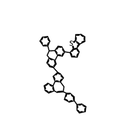 C1=C(c2ccc(-c3ccccc3)cc2)Cc2ccc(-c3ccc4c(c3)-c3cc(-c5cccc6c5sc5ccccc56)ccc3C(c3ccccc3)C4)cc2-c2ccccc21